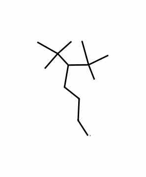 [CH2]CCCC(C(C)(C)C)C(C)(C)C